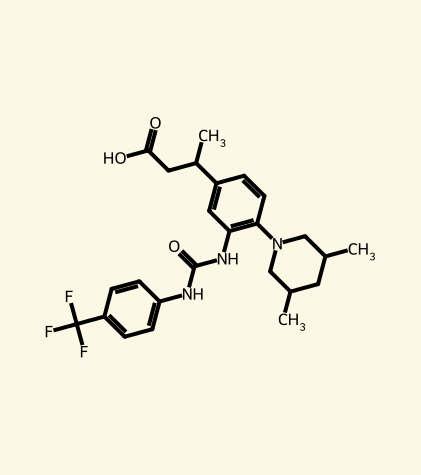 CC1CC(C)CN(c2ccc(C(C)CC(=O)O)cc2NC(=O)Nc2ccc(C(F)(F)F)cc2)C1